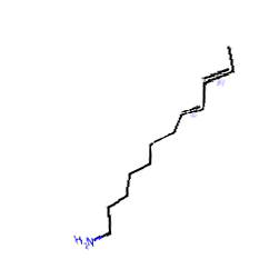 C/C=C/C=C/CCCCCCCN